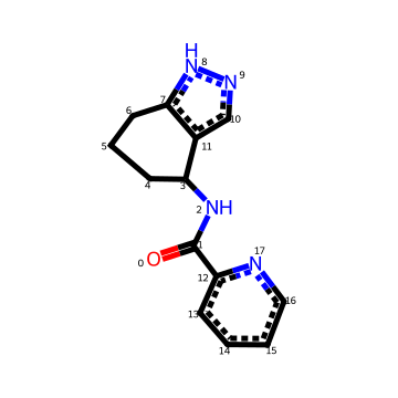 O=C(NC1CCCc2[nH]ncc21)c1ccccn1